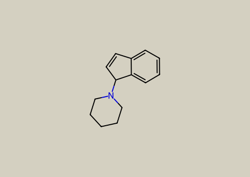 C1=CC(N2CCCCC2)c2ccccc21